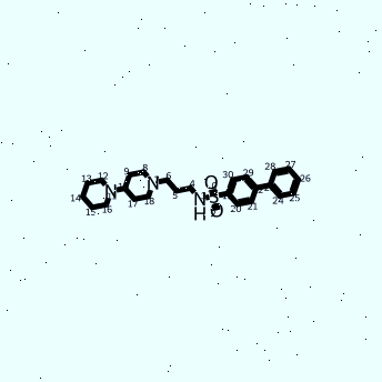 O=S(=O)(NCCCN1CCC(N2CCCCC2)CC1)c1ccc(-c2ccccc2)cc1